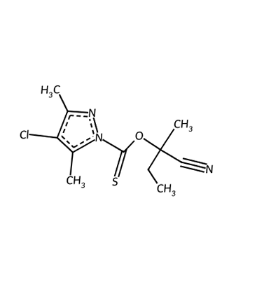 CCC(C)(C#N)OC(=S)n1nc(C)c(Cl)c1C